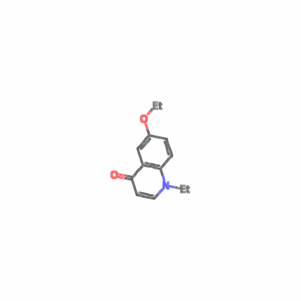 CCOc1ccc2c(c1)c(=O)ccn2CC